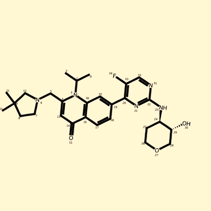 CC(C)n1c(CN2CCC(C)(C)C2)cc(=O)c2ccc(-c3nc(N[C@@H]4CCOC[C@H]4O)ncc3F)cc21